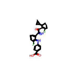 N=C(C(=O)c1c(Cl)cccc1C1CC1)c1cccc(F)c1Nc1ccc(C(=O)O)cc1